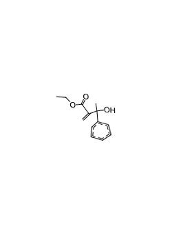 C=C(C(=O)OCC)C(C)(O)c1ccccc1